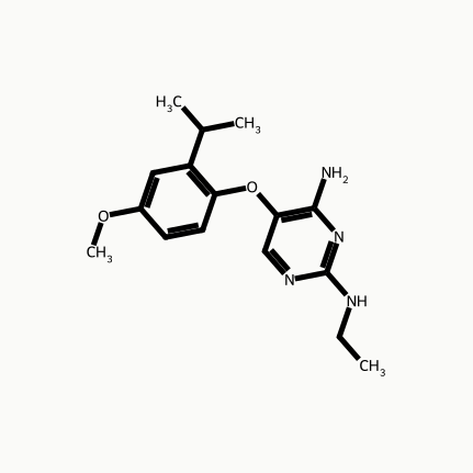 CCNc1ncc(Oc2ccc(OC)cc2C(C)C)c(N)n1